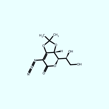 CC1(C)OC2=C(N=[N+]=[N-])C(=O)O[C@H]([C@@H](O)CO)[C@H]2O1